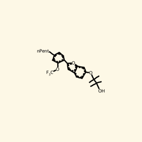 CCCCCc1ccc(-c2cc3ccc(OC(C)(C)C(C)(C)O)cc3o2)c(OC(F)(F)F)c1